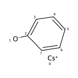 [Cs+].[O-]c1cc[c]cc1